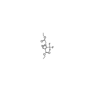 CCOC(=O)Cn1ncc(C(=O)OCC)c1C(F)(F)F